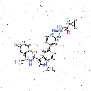 C[C@H](NC(=O)c1cn(C)c2ccc(-c3ccn4nc(NC(=O)C5(F)CC5)nc4c3)cc12)c1cccc(F)c1